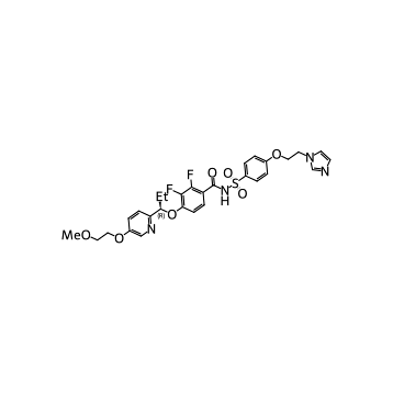 CC[C@@H](Oc1ccc(C(=O)NS(=O)(=O)c2ccc(OCCn3ccnc3)cc2)c(F)c1F)c1ccc(OCCOC)cn1